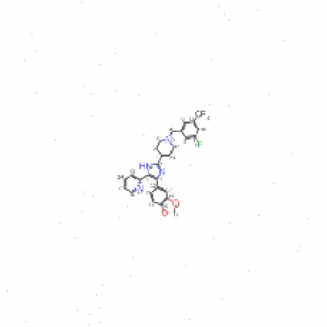 Fc1cc(CN2CCC(c3nc(-c4ccc5c(c4)OCO5)c(-c4ccccn4)[nH]3)CC2)cc(C(F)(F)F)c1